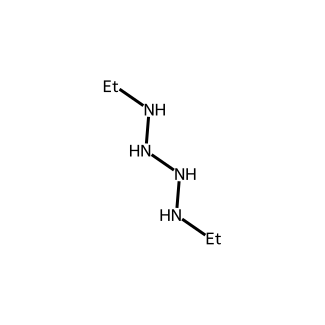 CCNNNNCC